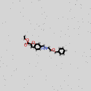 CCOC(=O)c1cc2ccc(CNCCOCc3ccccc3)cc2o1